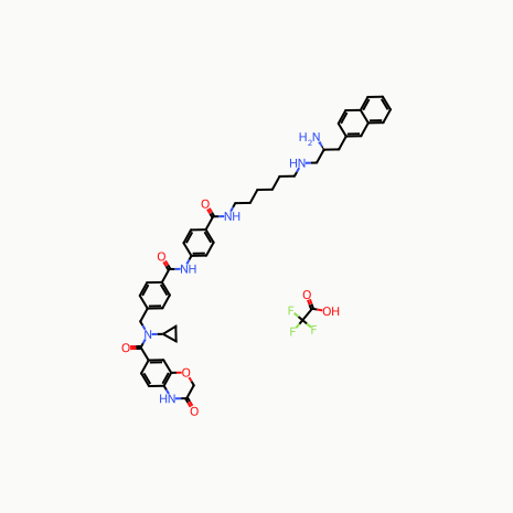 N[C@H](CNCCCCCCNC(=O)c1ccc(NC(=O)c2ccc(CN(C(=O)c3ccc4c(c3)OCC(=O)N4)C3CC3)cc2)cc1)Cc1ccc2ccccc2c1.O=C(O)C(F)(F)F